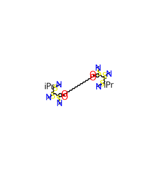 CC(C)C(CCC(C)C(CCC1CCC(C(=O)OCCCCCCCCCCCCCCCCCCCCOC(=O)C2CCC(CCC(SCCN(C)C)C(C)CCC(SCCN(C)C)C(C)C)C(SCCN(C)C)C2)CC1SCCN(C)C)SCCN(C)C)SCCN(C)C